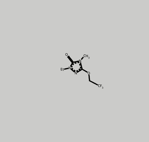 CCn1nc(OCC(F)(F)F)n(C)c1=O